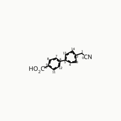 N#CCc1ccc(-c2ccc(C(=O)O)cc2)cc1